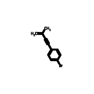 C=C(C)C#Cc1ccc(Br)cc1